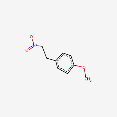 COc1ccc(CC[N+](=O)[O-])cc1